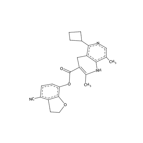 CC1=C(C(=O)Oc2ccc(C#N)c3c2OCC3)Cc2c(C3CCC3)ncc(C)c2N1